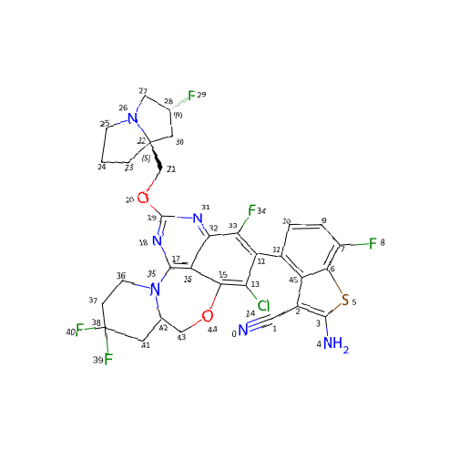 N#Cc1c(N)sc2c(F)ccc(-c3c(Cl)c4c5c(nc(OC[C@@]67CCCN6C[C@H](F)C7)nc5c3F)N3CCC(F)(F)CC3CO4)c12